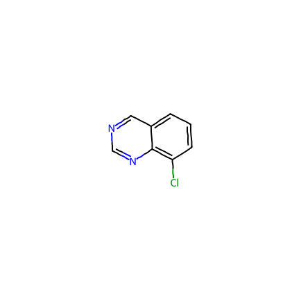 Clc1cccc2cncnc12